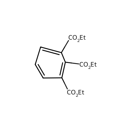 CCOC(=O)c1cccc(C(=O)OCC)c1C(=O)OCC